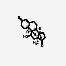 C[C@]12CC(O)[C@H]3[C@@H](CCC4=CC(=O)CC[C@@H]43)[C@@H]1CCC2=O